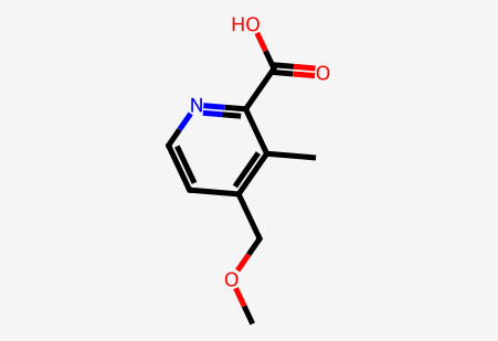 COCc1ccnc(C(=O)O)c1C